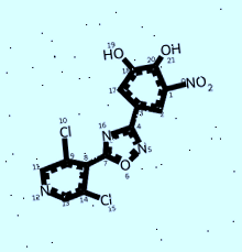 O=[N+]([O-])c1cc(-c2noc(-c3c(Cl)cncc3Cl)n2)cc(O)c1O